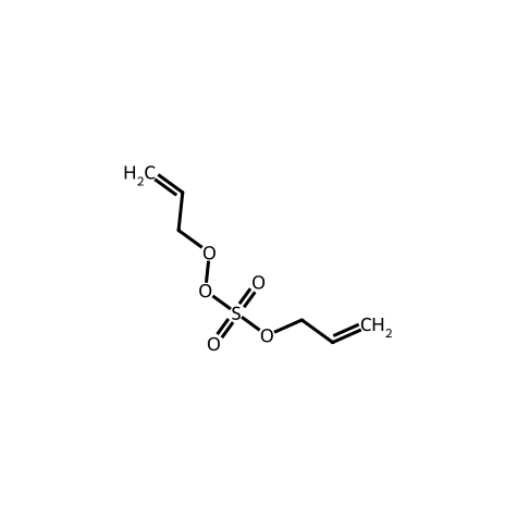 C=CCOOS(=O)(=O)OCC=C